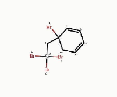 BrC1(C[Si](Br)(Br)Br)C=CC=CC1